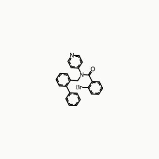 O=C(c1ccccc1Br)N(Cc1ccccc1-c1ccccc1)c1ccncc1